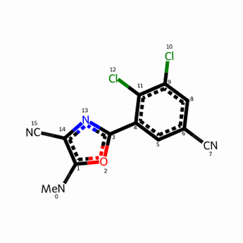 CNc1oc(-c2cc(C#N)cc(Cl)c2Cl)nc1C#N